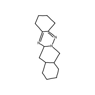 C1CCC2=NN3CC4CCCCC4CC3N=C2C1